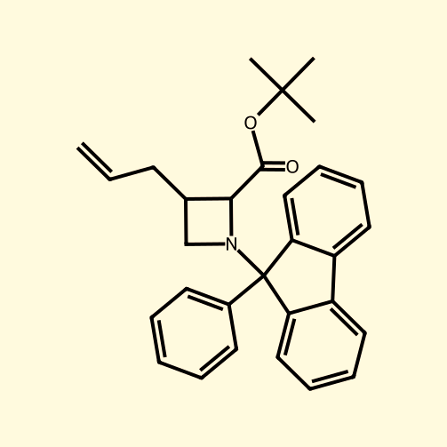 C=CCC1CN(C2(c3ccccc3)c3ccccc3-c3ccccc32)C1C(=O)OC(C)(C)C